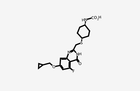 O=C(O)N[C@H]1CC[C@@H](SCc2nc3cc(OCC4CC4)cc(F)c3c(=O)[nH]2)CC1